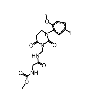 COC(=O)NCC(=O)NCN1C(=O)CCN(c2cc(I)ccc2OC)C1=O